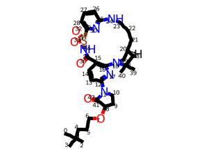 CC(C)(C)CCCOC1CCN(c2ccc3c(n2)N2C[C@@H](CCCNc4cccc(n4)S(=O)(=O)NC3=O)CC2(C)C)C1=O